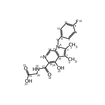 Cc1c(C)n(Cc2ccc(F)cc2)c2cnc(C(=O)NCC(=O)O)c(O)c12